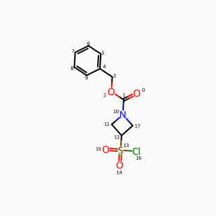 O=C(OCc1ccccc1)N1CC(S(=O)(=O)Cl)C1